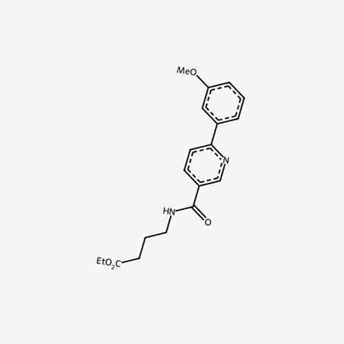 CCOC(=O)CCCNC(=O)c1ccc(-c2cccc(OC)c2)nc1